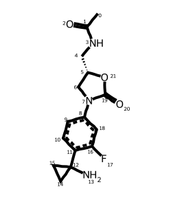 CC(=O)NC[C@H]1CN(c2ccc(C3(N)CC3)c(F)c2)C(=O)O1